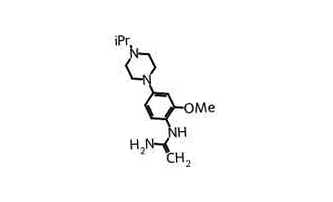 C=C(N)Nc1ccc(N2CCN(C(C)C)CC2)cc1OC